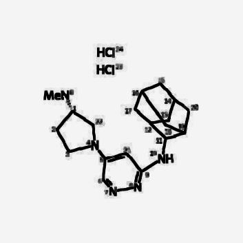 CN[C@H]1CCN(c2cnnc(NC3C4CC5CC(C4)CC3C5)c2)C1.Cl.Cl